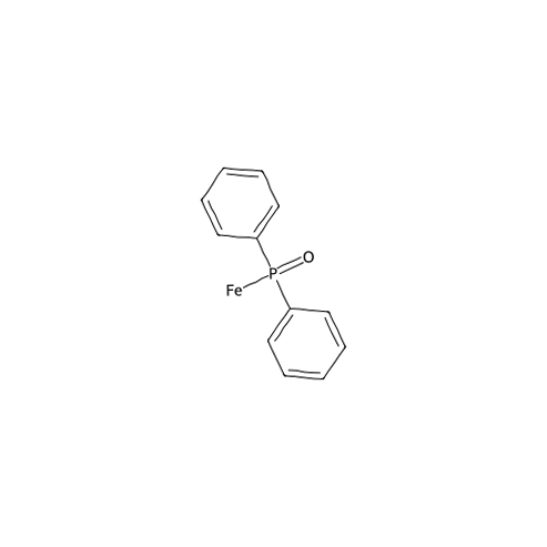 O=[P]([Fe])(c1ccccc1)c1ccccc1